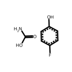 NC(=O)O.Oc1ccc(F)cc1